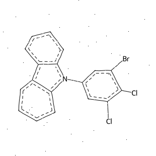 Clc1cc(-n2c3ccccc3c3ccccc32)cc(Br)c1Cl